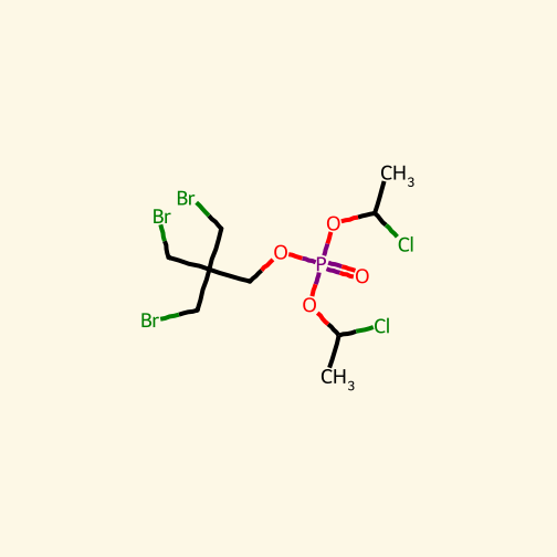 CC(Cl)OP(=O)(OCC(CBr)(CBr)CBr)OC(C)Cl